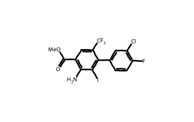 COC(=O)c1cc(C(F)(F)F)c(-c2ccc(F)c(Cl)c2)c(I)c1N